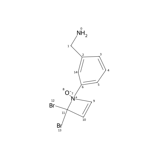 NCc1cccc([N+]2([O-])C=CC2(Br)Br)c1